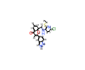 CCSc1nc(Cl)ccc1N[C@H](C)c1cc(C)cc2c(=O)c(C)c(-c3ccc4nn(C)cc4c3)oc12